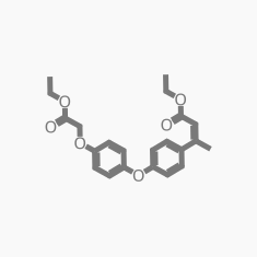 CCOC(=O)/C=C(/C)c1ccc(Oc2ccc(OCC(=O)OCC)cc2)cc1